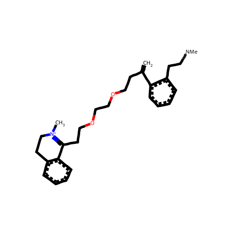 C=C(CCOCCOCCC1=[N+](C)CCc2ccccc21)c1ccccc1CCNC